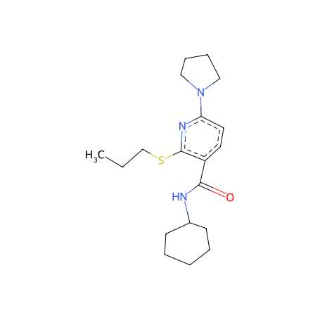 CCCSc1nc(N2CCCC2)ccc1C(=O)NC1CCCCC1